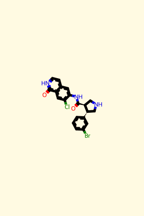 O=C(Nc1cc2cc[nH]c(=O)c2cc1Cl)[C@H]1CNC[C@@H]1c1cccc(Br)c1